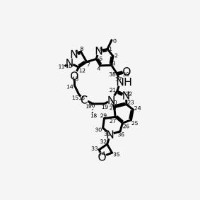 Cc1cc2cc(n1)-c1cnn(C)c1OCCC[C@@H](C)Cn1c(nc3ccc4c(c31)CCN(C1COC1)C4)NC2=O